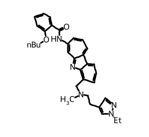 CCCCOc1ccccc1C(=O)Nc1cccc2c3cccc(CN(C)CCc4cnn(CC)c4)c3nc-2c1